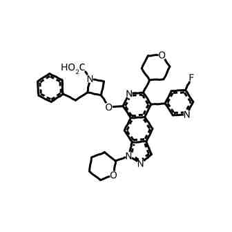 O=C(O)N1CC(Oc2nc(C3CCOCC3)c(-c3cncc(F)c3)c3cc4cnn(C5CCCCO5)c4cc23)C1Cc1ccccc1